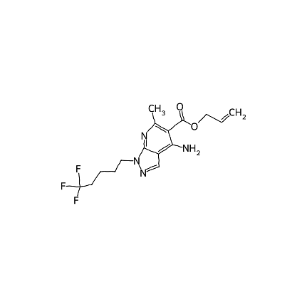 C=CCOC(=O)c1c(C)nc2c(cnn2CCCCC(F)(F)F)c1N